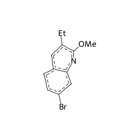 CCc1cc2ccc(Br)cc2nc1OC